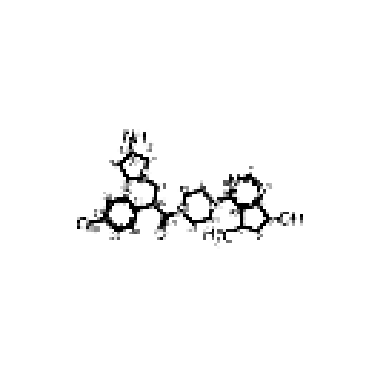 CC1C[C@@H](O)c2ncnc(N3CCN(C(=O)C(CN4CC[C@@H](N)C4)c4ccc(Cl)cc4)CC3)c21